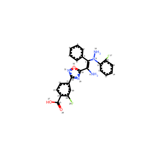 N/C(=C(/c1ccccc1)N(N)c1ccccc1F)c1nc(-c2ccc(C(=O)O)c(F)c2)no1